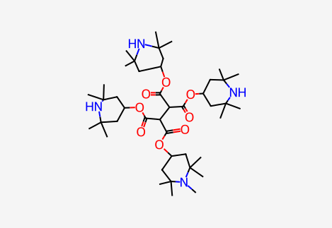 CN1C(C)(C)CC(OC(=O)C(C(=O)OC2CC(C)(C)NC(C)(C)C2)C(C(=O)OC2CC(C)(C)NC(C)(C)C2)C(=O)OC2CC(C)(C)NC(C)(C)C2)CC1(C)C